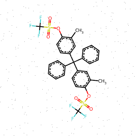 Cc1cc(C(c2ccccc2)(c2ccccc2)c2ccc(OS(=O)(=O)C(F)(F)F)c(C)c2)ccc1OS(=O)(=O)C(F)(F)F